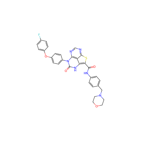 O=C(Nc1ccc(CN2CCOCC2)cc1)c1sc2ncnc3c2c1NC(=O)N3c1ccc(Oc2ccc(F)cc2)cc1